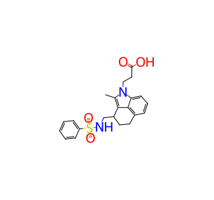 Cc1c2c3c(cccc3n1CCC(=O)O)CCC2CNS(=O)(=O)c1ccccc1